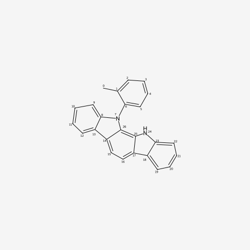 Cc1ccccc1-n1c2ccccc2c2ccc3c4ccccc4[nH]c3c21